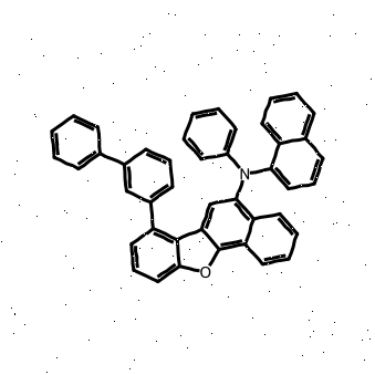 c1ccc(-c2cccc(-c3cccc4oc5c6ccccc6c(N(c6ccccc6)c6cccc7ccccc67)cc5c34)c2)cc1